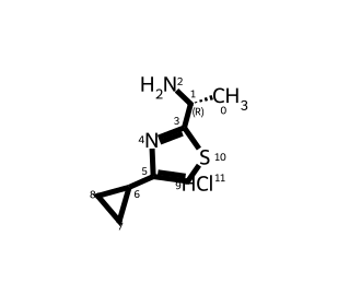 C[C@@H](N)c1nc(C2CC2)cs1.Cl